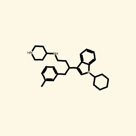 Cc1cccc(CC(CCNC2CCNCC2)c2cn(C3CCCCC3)c3ccccc23)c1